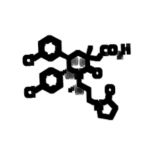 C[C@@H](CCN1CCCC1=O)N1C(=O)[C@@](C)(CC(=O)O)C[C@H](c2cccc(Cl)c2)[C@H]1c1ccc(Cl)cc1